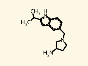 CC(C)c1cc2cc(CN3CCC(N)C3)ccc2[nH]1